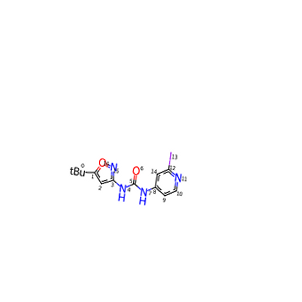 CC(C)(C)c1cc(NC(=O)Nc2ccnc(I)c2)no1